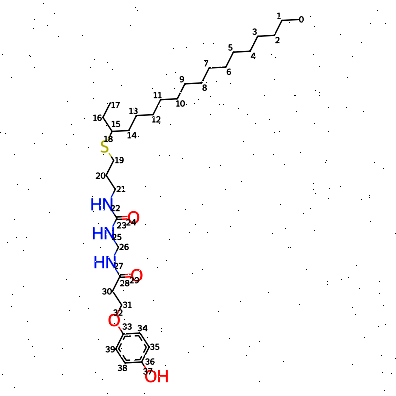 CCCCCCCCCCCCCCCC(CC)SCCCNC(=O)NCNC(=O)CCOc1ccc(O)cc1